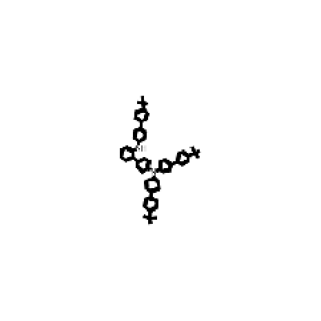 CC(C)(C)c1ccc(-c2ccc(Nc3ccccc3-c3ccc(N(c4ccc(-c5ccc(C(C)(C)C)cc5)cc4)c4ccc(-c5ccc(C(C)(C)C)cc5)cc4)cc3)cc2)cc1